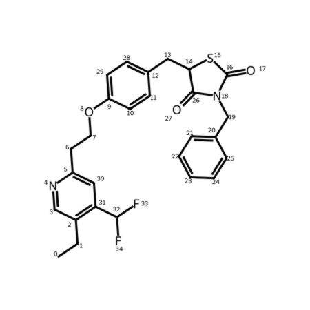 CCc1cnc(CCOc2ccc(CC3SC(=O)N(Cc4ccccc4)C3=O)cc2)cc1C(F)F